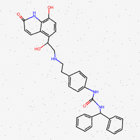 O=C(Nc1ccc(CCNCC(O)c2ccc(O)c3[nH]c(=O)ccc23)cc1)NC(c1ccccc1)c1ccccc1